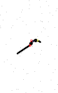 CCCCCCCCCCCCCCCCCOc1ccc(C(=O)/C=C/c2ccc(SCCCC)cc2)cc1